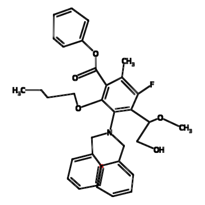 CCCCOc1c(C(=O)Oc2ccccc2)c(C)c(F)c(C(CO)OC)c1N(Cc1ccccc1)Cc1ccccc1